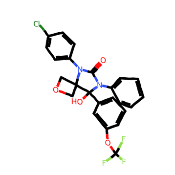 O=C1N(c2ccc(Cl)cc2)C2(COC2)C(O)(c2cccc(OC(F)(F)F)c2)N1c1ccccc1